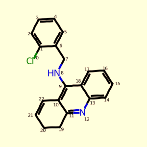 Clc1ccccc1CNc1c2c(nc3ccccc13)CCC=C2